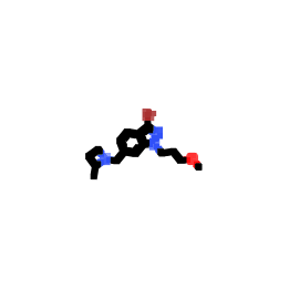 COCCCn1nc(Br)c2ccc(CN3CCC3C)cc21